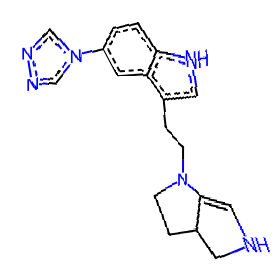 C1=C2C(CCN2CCc2c[nH]c3ccc(-n4cnnc4)cc23)CN1